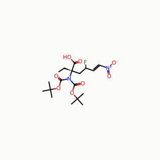 CC[C@](CC(F)C=C[N+](=O)[O-])(C(=O)O)N(C(=O)OC(C)(C)C)C(=O)OC(C)(C)C